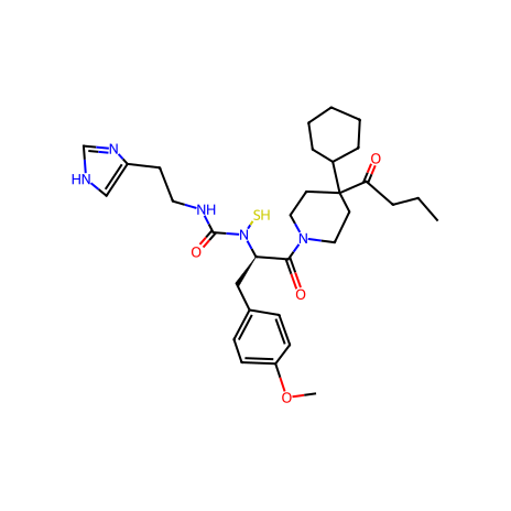 CCCC(=O)C1(C2CCCCC2)CCN(C(=O)[C@@H](Cc2ccc(OC)cc2)N(S)C(=O)NCCc2c[nH]cn2)CC1